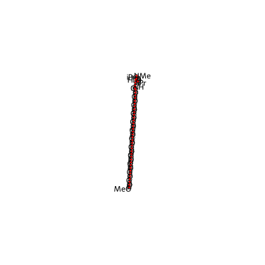 CN[C@H](C(=O)N[C@@H](CCCNC(=O)CCOCCOCCOCCOCCOCCOCCOCCOCCOCCOCCOCCOCCOCCOCCOCCOCCOCCOCCOCCOCCOCCOCCOCCOC)C(=O)C(C)C)C(C)C